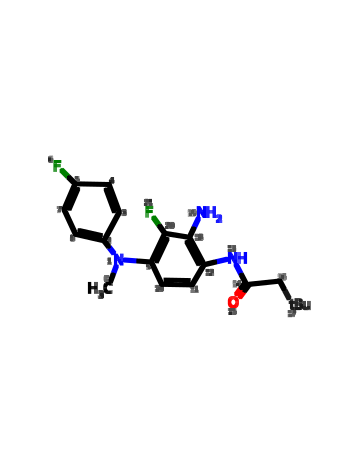 CN(c1ccc(F)cc1)c1ccc(NC(=O)CC(C)(C)C)c(N)c1F